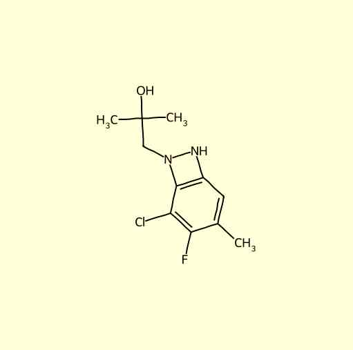 Cc1cc2[nH]n(CC(C)(C)O)c2c(Cl)c1F